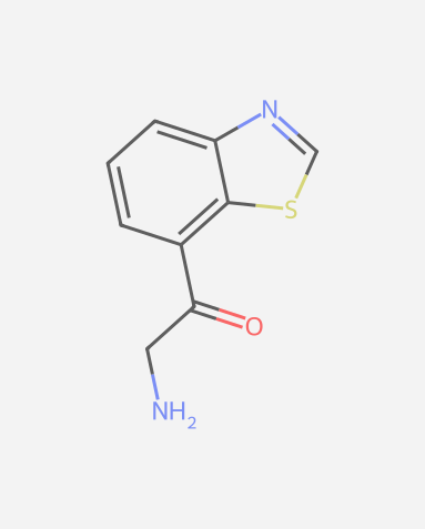 NCC(=O)c1cccc2ncsc12